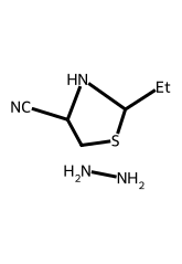 CCC1NC(C#N)CS1.NN